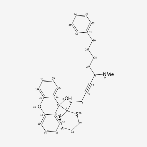 CNC(C#CCCC1(C2(O)c3ccccc3Oc3ccccc32)SCCCS1)CCCCc1ccccc1